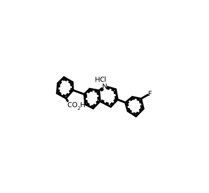 Cl.O=C(O)c1ccccc1-c1ccc2cc(-c3cccc(F)c3)cnc2c1